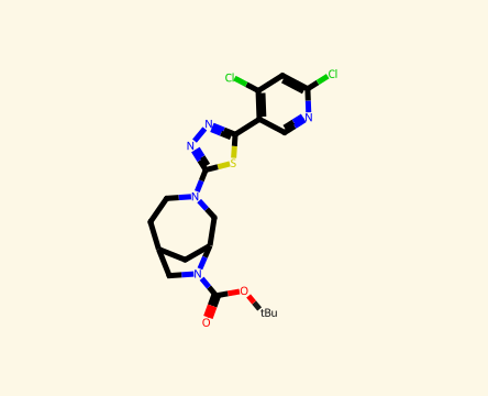 CC(C)(C)OC(=O)N1CC2CCN(c3nnc(-c4cnc(Cl)cc4Cl)s3)CC1C2